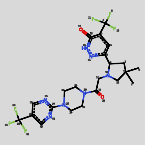 CC1(C)CC(c2cc(C(F)(F)F)c(=O)[nH]n2)N(CC(=O)N2CCN(c3ncc(C(F)(F)F)cn3)CC2)C1